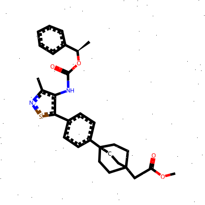 COC(=O)CC12CCC(c3ccc(-c4snc(C)c4NC(=O)O[C@H](C)c4ccccc4)cc3)(CC1)CC2